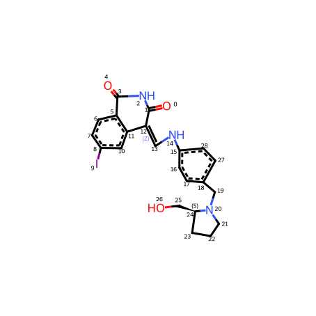 O=C1NC(=O)c2ccc(I)cc2/C1=C/Nc1ccc(CN2CCC[C@H]2CO)cc1